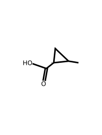 CC1C[C]1C(=O)O